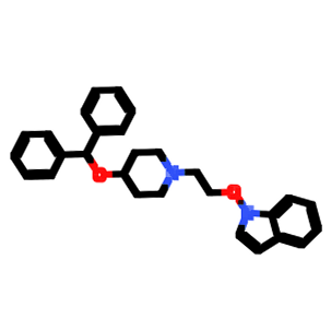 c1ccc(C(OC2CCN(CCOn3ccc4ccccc43)CC2)c2ccccc2)cc1